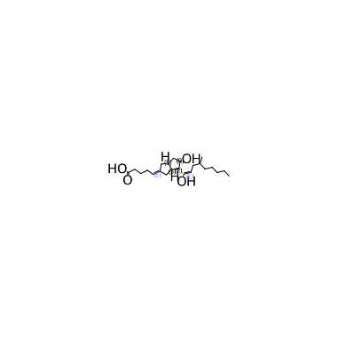 CCCCCC(C)C/C=C(/O)[C@@H]1[C@H]2C/C(=C/CCCC(=O)O)C[C@H]2C[C@H]1O